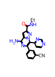 CCNC(=O)c1cc2c(N)nc(-c3cccc(C#N)c3)c(-c3ccncn3)n2n1